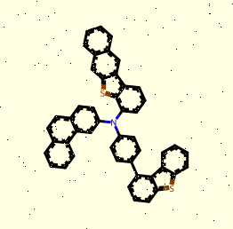 c1ccc2cc3c(cc2c1)sc1c(N(c2ccc(-c4cccc5sc6ccccc6c45)cc2)c2ccc4ccc5ccccc5c4c2)cccc13